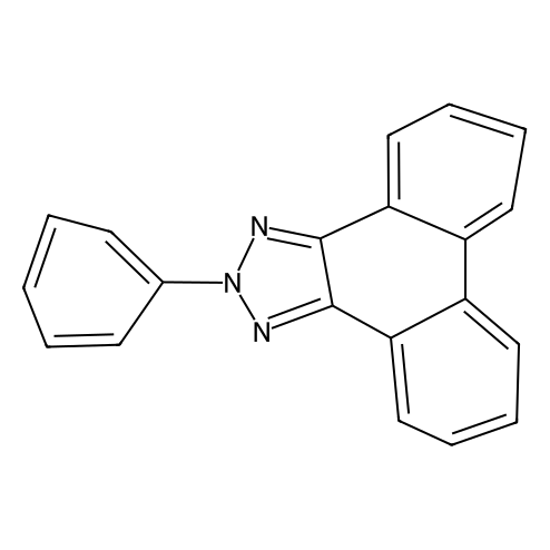 c1ccc(-n2nc3c4ccccc4c4ccccc4c3n2)cc1